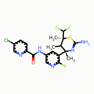 CC1[C@@](C)(C(F)F)SC(N)=N[C@]1(C)c1cc(NC(=O)c2ccc(Cl)cn2)cnc1F